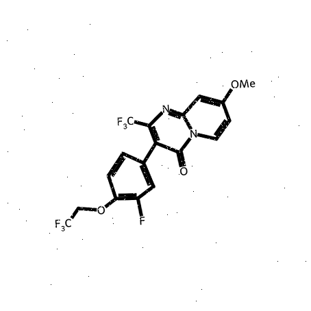 COc1ccn2c(=O)c(-c3ccc(OCC(F)(F)F)c(F)c3)c(C(F)(F)F)nc2c1